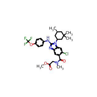 COC(=O)CN(C)C(=O)c1cc2nc(Nc3ccc(OC(F)(F)F)cc3)n(C3C[C@@H](C)CC(C)(C)C3)c2cc1Cl